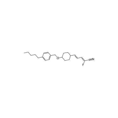 CCCCCc1ccc(COC2CCC(C=CC=C(F)C#N)CC2)cc1